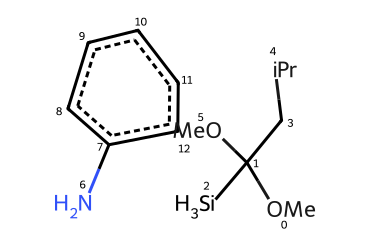 COC([SiH3])(CC(C)C)OC.Nc1ccccc1